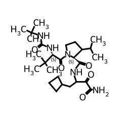 CC(C)C1CCN(C(=O)[C@@H](NC(=O)NC(C)(C)C)C(C)(C)C)[C@@H]1C(=O)NC(CC1CCC1)C(=O)C(N)=O